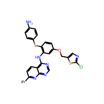 CC(C)c1ccc2c(Nc3cc(OCc4cnc(Cl)s4)ccc3Sc3ccc(N)cc3)ncnc2n1